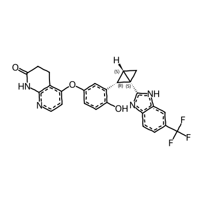 O=C1CCc2c(Oc3ccc(O)c([C@@H]4[C@@H]5C[C@@]45c4nc5ccc(C(F)(F)F)cc5[nH]4)c3)ccnc2N1